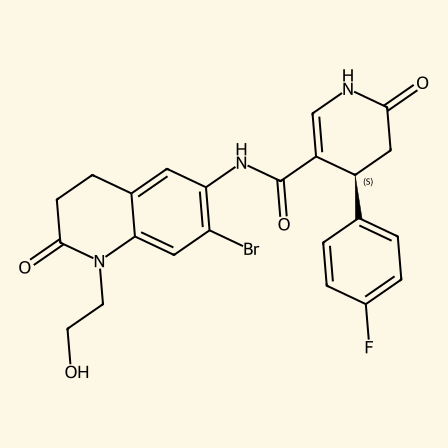 O=C1C[C@@H](c2ccc(F)cc2)C(C(=O)Nc2cc3c(cc2Br)N(CCO)C(=O)CC3)=CN1